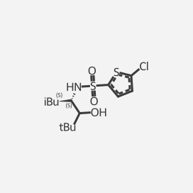 CC[C@H](C)[C@H](NS(=O)(=O)c1ccc(Cl)s1)C(O)C(C)(C)C